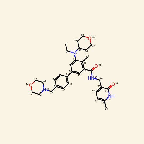 CCN(c1cc(-c2ccc(CN3CCOCC3)cc2)cc(C(=O)NCc2ccc(C)[nH]c2=O)c1C)C1CCOCC1